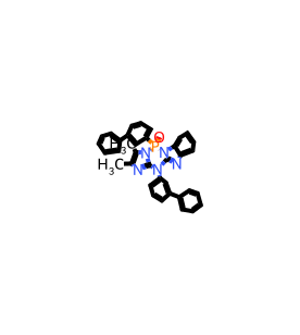 Cc1nc2n(c1C)P(=O)(c1cccc(-c3ccccc3)c1)n1c(nc3ccccc31)N2c1cccc(-c2ccccc2)c1